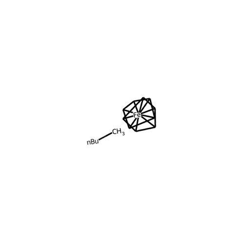 CCCCC.[CH]12[CH]3[CH]4[CH]5[CH]1[Fe]23451678[CH]2[CH]1[CH]6[CH]7[CH]28